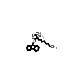 CCCCCCCC[C@](N)(C(=O)O)C(=O)OCC1c2ccccc2-c2ccccc21